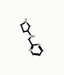 c1cnc(CNC2CCNC2)nc1